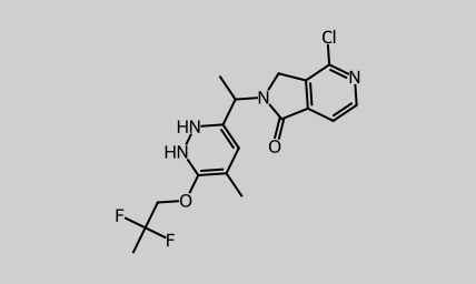 CC1=C(OCC(C)(F)F)NNC(C(C)N2Cc3c(ccnc3Cl)C2=O)=C1